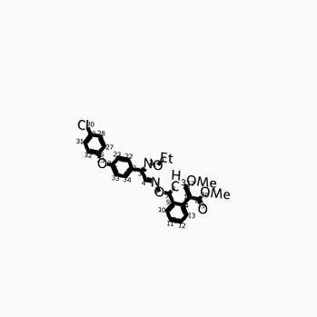 CCON=C(C=NOC(C)c1ccccc1C(=COC)C(=O)OC)c1ccc(Oc2ccc(Cl)cc2)cc1